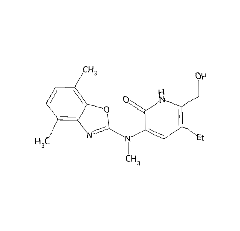 CCc1cc(N(C)c2nc3c(C)ccc(C)c3o2)c(=O)[nH]c1CO